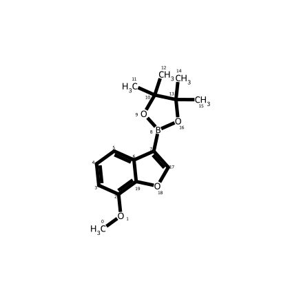 COc1cccc2c(B3OC(C)(C)C(C)(C)O3)coc12